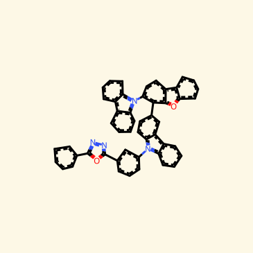 c1ccc(-c2nnc(-c3cccc(-n4c5ccccc5c5cc(-c6c(-n7c8ccccc8c8ccccc87)ccc7c6oc6ccccc67)ccc54)c3)o2)cc1